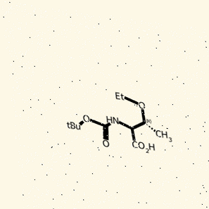 CCO[C@H](C)C(NC(=O)OC(C)(C)C)C(=O)O